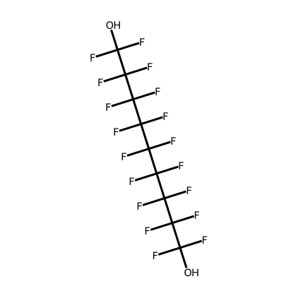 OC(F)(F)C(F)(F)C(F)(F)C(F)(F)C(F)(F)C(F)(F)C(F)(F)C(F)(F)C(O)(F)F